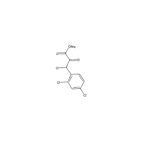 COC(=O)C(=O)C(Cl)c1ccc(Cl)cc1Cl